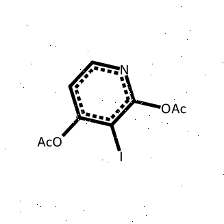 CC(=O)Oc1ccnc(OC(C)=O)c1I